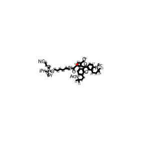 CC(=O)N1c2ccc3c(c2CCC1(C)C)Oc1c(ccc2c1CCC(C)(C)N2C(C)=O)C31OC(=O)c2ccc(C(=O)NCCCCCCOP(OCCC#N)N(C(C)C)C(C)C)cc21